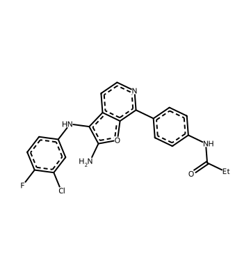 CCC(=O)Nc1ccc(-c2nccc3c(Nc4ccc(F)c(Cl)c4)c(N)oc23)cc1